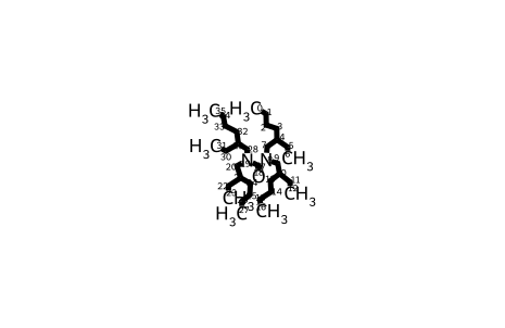 CCCCC(CC)CN(CC(CC)CCCC)C(=O)N(CC(CC)CCCC)CC(CC)CCCC